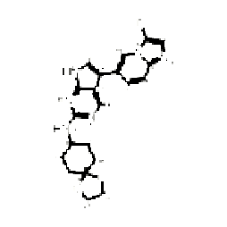 Fc1cnc2ccc(-c3c[nH]c4nc(NC5CCC6(CC5)OCCO6)ncc34)cn12